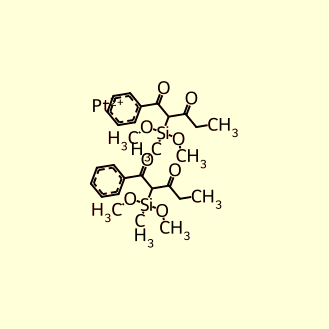 CCC(=O)C(C(=O)c1ccccc1)[Si](C)(OC)OC.CCC(=O)C(C(=O)c1ccccc1)[Si](C)(OC)OC.[Pt+2]